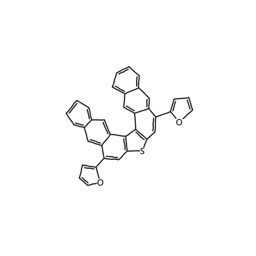 c1coc(-c2cc3sc4cc(-c5ccco5)c5cc6ccccc6cc5c4c3c3cc4ccccc4cc23)c1